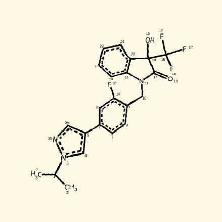 CC(C)n1cc(-c2ccc(CN3C(=O)C(O)(C(F)(F)F)c4ccccc43)c(F)c2)cn1